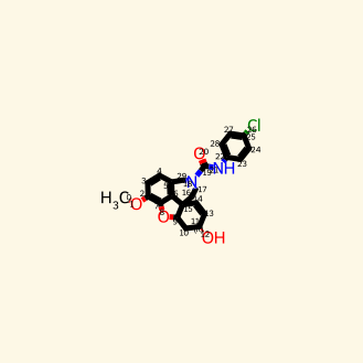 COc1ccc2c3c1OC1C[C@@H](O)C=CC31CCN(C(=O)Nc1ccc(Cl)cc1)C2